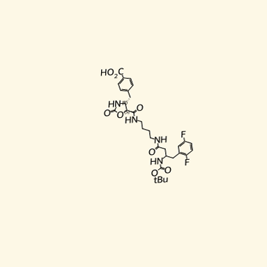 CC(C)(C)OC(=O)NC(CC(=O)NCCCCNC(=O)[C@H]1OC(=O)N[C@@H]1Cc1ccc(C(=O)O)cc1)Cc1cc(F)ccc1F